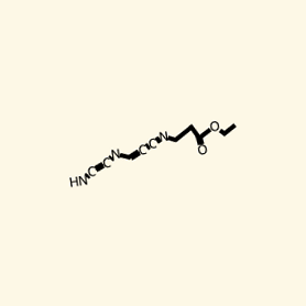 CCOC(=O)CCN=C=C=CN=C=C=N